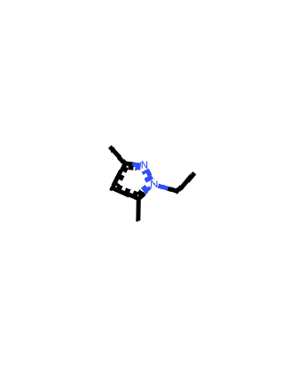 C[CH]n1nc(C)cc1C